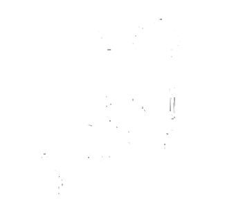 CCc1ccccc1-c1cc2cc([N+](=O)[O-])ccc2n1S(C)(=O)=O